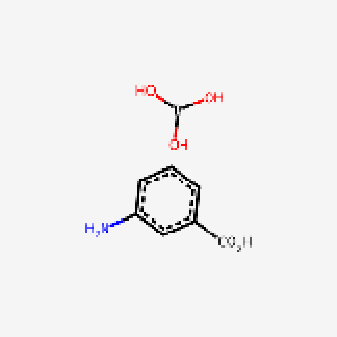 Nc1cccc(C(=O)O)c1.OB(O)O